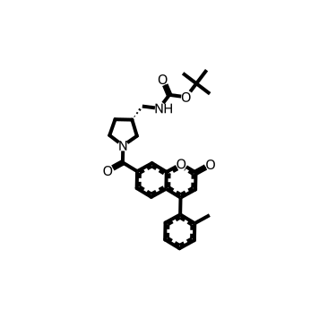 Cc1ccccc1-c1cc(=O)oc2cc(C(=O)N3CC[C@H](CNC(=O)OC(C)(C)C)C3)ccc12